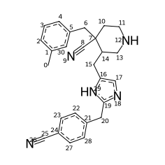 Cc1cccc(CC2(C#N)CCNCC2Cc2cnc(Cc3ccc(C#N)cc3)[nH]2)c1